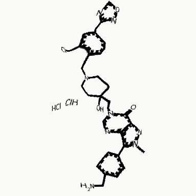 Cl.Cl.Cn1nc2c(=O)n(CC3(O)CCN(Cc4ccc(-c5ncon5)cc4Cl)CC3)cnc2c1-c1ccc(CN)cc1